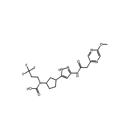 COc1cnc(CC(=O)Nc2cc(C3CCC(N(CCC(F)(F)F)C(=O)O)C3)[nH]n2)cn1